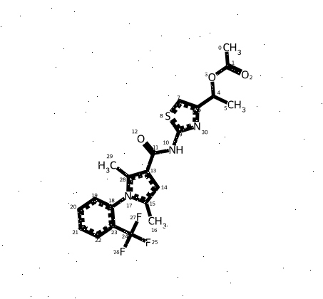 CC(=O)OC(C)c1csc(NC(=O)c2cc(C)n(-c3ccccc3C(F)(F)F)c2C)n1